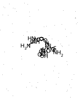 CC1(C)C(NC(=O)/C(=N\OCCOc2ccc3c(c2)CN(C(=N)NOCCN)C3)c2csc(N)n2)C(=O)N1OS(=O)(=O)O